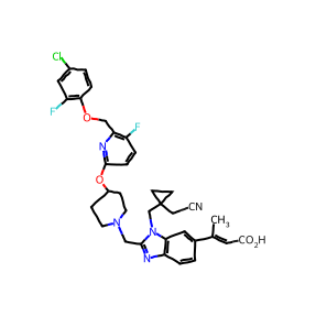 C/C(=C\C(=O)O)c1ccc2nc(CN3CCC(Oc4ccc(F)c(COc5ccc(Cl)cc5F)n4)CC3)n(CC3(CC#N)CC3)c2c1